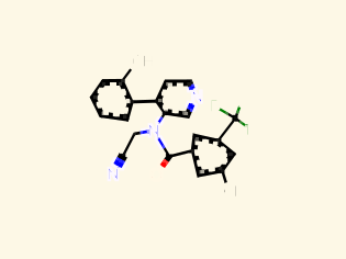 Cc1cc(C(=O)N(CC#N)c2cnccc2-c2ccccc2C)cc(C(F)(F)F)c1